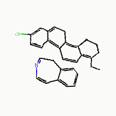 C1=Cc2ccccc2CC=N1.CCC1=c2ccc3c(c2CCC1)CC=c1cc(Cl)ccc1=3